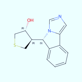 O[C@H]1CSC[C@@H]1[C@H]1c2ccccc2-c2cncn21